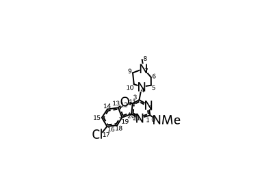 CNc1nc(N2CCN(C)CC2)c2oc3ccc(Cl)cc3c2n1